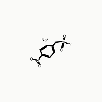 O=[N+]([O-])c1ccc(CS(=O)(=O)[O-])cc1.[Na+]